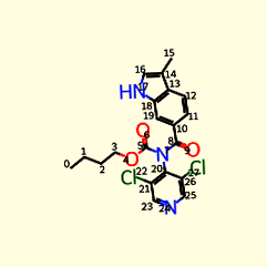 CCCCOC(=O)N(C(=O)c1ccc2c(C)c[nH]c2c1)c1c(Cl)cncc1Cl